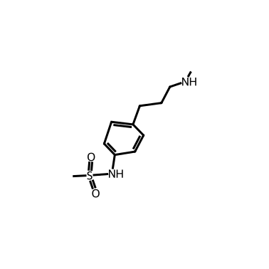 CNCCCc1ccc(NS(C)(=O)=O)cc1